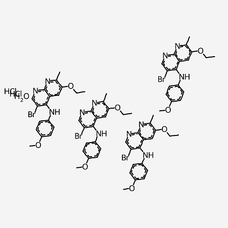 CCOc1cc2c(Nc3ccc(OC)cc3)c(Br)cnc2nc1C.CCOc1cc2c(Nc3ccc(OC)cc3)c(Br)cnc2nc1C.CCOc1cc2c(Nc3ccc(OC)cc3)c(Br)cnc2nc1C.CCOc1cc2c(Nc3ccc(OC)cc3)c(Br)cnc2nc1C.Cl.Cl.O